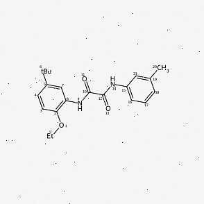 CCOc1ccc(C(C)(C)C)cc1NC(=O)C(=O)Nc1cccc(C)c1